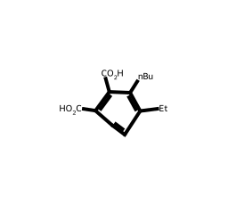 CCCCc1c(CC)ccc(C(=O)O)c1C(=O)O